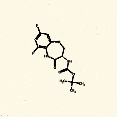 CC(C)(C)OC(=O)N[C@H]1COc2cc(F)cc(F)c2NC1=O